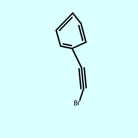 BrC#Cc1ccccc1